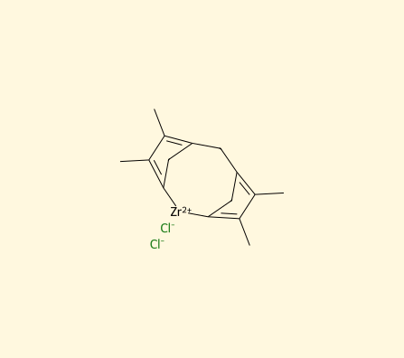 CC1=C2CC3=C(C)C(C)=[C](C3)[Zr+2][C](=C1C)C2.[Cl-].[Cl-]